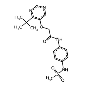 CC(C)(C)c1ncncc1OCC(=O)Nc1ccc(NS(C)(=O)=O)cc1